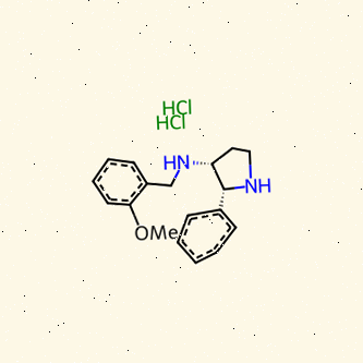 COc1ccccc1CN[C@@H]1CCN[C@@H]1c1ccccc1.Cl.Cl